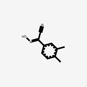 Cc1ccc(C(C#N)=NO)cc1C